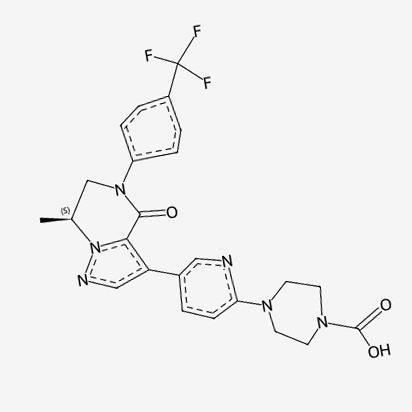 C[C@H]1CN(c2ccc(C(F)(F)F)cc2)C(=O)c2c(-c3ccc(N4CCN(C(=O)O)CC4)nc3)cnn21